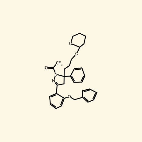 O=C(N1N=C(c2ccccc2OCc2ccccc2)CC1(CCCOC1CCCCO1)c1ccccc1)C(F)(F)F